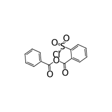 O=C(OC(=O)c1ccccc1S(=O)(=O)Cl)c1ccccc1